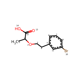 CC(OCCc1cccc(Br)c1)C(=O)O